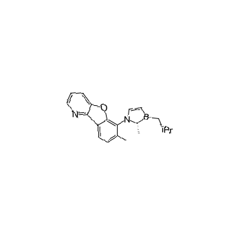 Cc1ccc2c(oc3cccnc32)c1N1C=CB(CC(C)C)[C@@H]1C